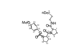 CCCCCCCCCCCCNC(=O)C1CCCN1C(=O)C1CCCN1C(=O)Oc1ccc(OC)cc1